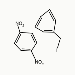 ICc1ccccc1.O=[N+]([O-])c1ccc([N+](=O)[O-])cc1